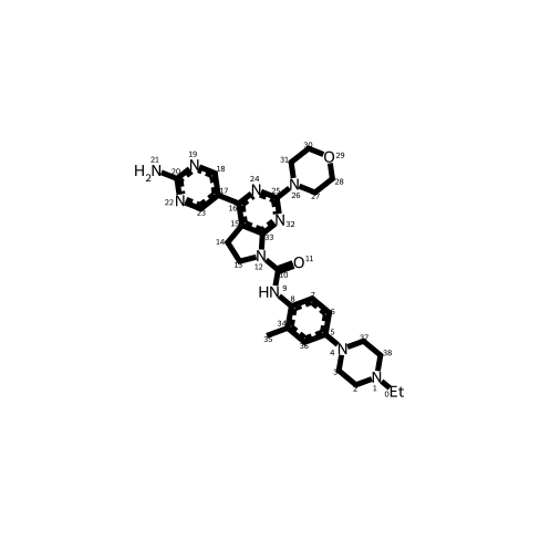 CCN1CCN(c2ccc(NC(=O)N3CCc4c(-c5cnc(N)nc5)nc(N5CCOCC5)nc43)c(C)c2)CC1